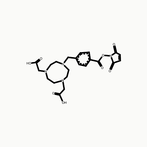 O=C(O)CN1CCN(CC(=O)O)CCN(Cc2ccc(C(=O)ON3C(=O)C=CC3=O)cc2)CC1